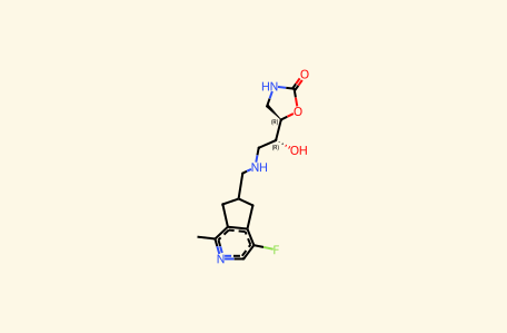 Cc1ncc(F)c2c1CC(CNC[C@@H](O)[C@H]1CNC(=O)O1)C2